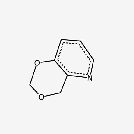 c1cnc2c(c1)OCOC2